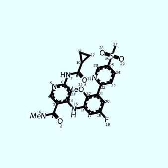 CNC(=O)c1cnc(NC(=O)C2CC2)cc1Nc1cc(F)cc(-c2ccc(S(C)(=O)=O)cn2)c1OC